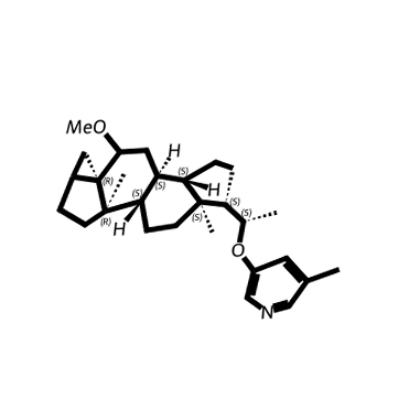 COC1C[C@H]2[C@@H]3CC[C@H]([C@H](C)Oc4cncc(C)c4)[C@@]3(C)CC[C@@H]2[C@@]2(C)CCC3C[C@]312